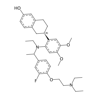 CCN(CC)CCOc1ccc(C(C)N(CC)c2cc(OC)c(OC)cc2[C@@H]2CCc3cc(O)ccc3C2)cc1F